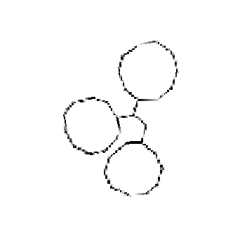 C1CCCCC(CC(C2CCCCCCCCC2)C2CCCCCCCCC2)CCCC1